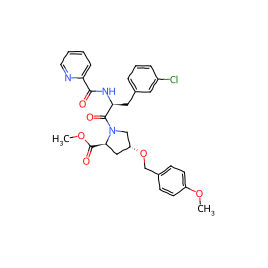 COC(=O)[C@@H]1C[C@@H](OCc2ccc(OC)cc2)CN1C(=O)[C@H](Cc1cccc(Cl)c1)NC(=O)c1ccccn1